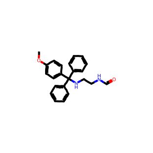 COc1ccc(C(NCCNC=O)(c2ccccc2)c2ccccc2)cc1